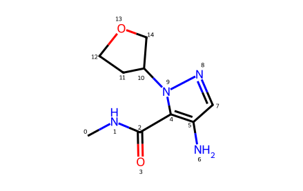 CNC(=O)c1c(N)cnn1C1CCOC1